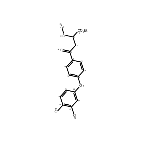 CCOC(=O)C(CC(=O)c1ccc(Oc2ccc(Cl)c(Cl)c2)cc1)SC(C)=O